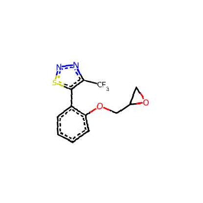 FC(F)(F)c1nnsc1-c1ccccc1OCC1CO1